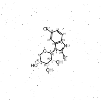 O[C@@H]1[C@H](O)[C@H](O)CO[C@H]1n1c(Br)nc2ccc(Cl)cc21